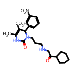 CC1=C(C(=O)O)C(c2cccc([N+](=O)[O-])c2)N(CCCNCC(=O)C2CCCCC2)C(=O)N1